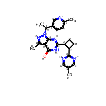 C[C@@H](c1ccc(C(F)(F)F)nc1)n1nc(C#N)c2c(=O)[nH]c(C3CCC3c3ncc(C#N)cn3)nc21